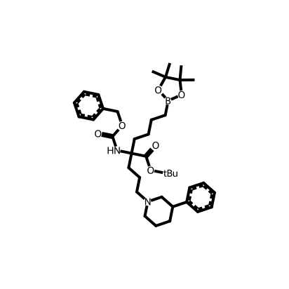 CC(C)(C)OC(=O)C(CCCCB1OC(C)(C)C(C)(C)O1)(CCCN1CCCC(c2ccccc2)C1)NC(=O)OCc1ccccc1